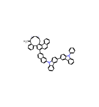 C=C1/C=C\C=C/Cc2c(cc(-c3ccc4ccc(-n5c6ccccc6c6cc(-c7ccc8c(c7)c7ccccc7n8-c7ccccc7)ccc65)cc4c3)c3ccc4ccccc4c23)-c2ccccc21